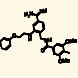 COc1cc(C(=O)NCc2ccc(C(=N)N)cc2NCCOc2ccccc2)cc(OC)c1C